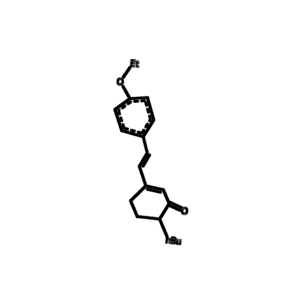 CCCCC1CCC(C=Cc2ccc(OCC)cc2)=CC1=O